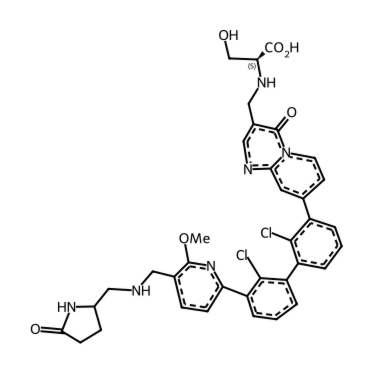 COc1nc(-c2cccc(-c3cccc(-c4ccn5c(=O)c(CN[C@@H](CO)C(=O)O)cnc5c4)c3Cl)c2Cl)ccc1CNCC1CCC(=O)N1